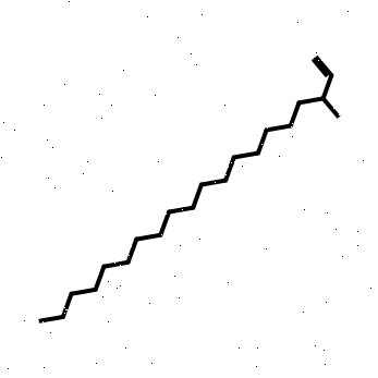 C=CC(C)CCCCCCCCCCCCCCCCC